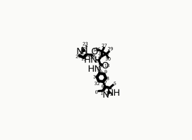 Cc1n[nH]c(C)c1-c1ccc(NC(=O)[C@@H](NC(=O)c2ccnn2C)C2C(C)(C)C2(C)C)cc1